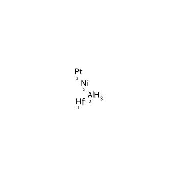 [AlH3].[Hf].[Ni].[Pt]